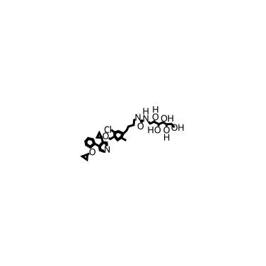 Cc1cc(COC2(c3cnccc3-c3ccccc3OC3CC3)CC2)c(Cl)cc1CCCCN(C)C(=O)NCC(O)C(O)C(O)C(O)CO